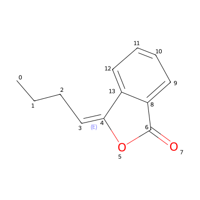 CCC/C=C1/OC(=O)c2ccccc21